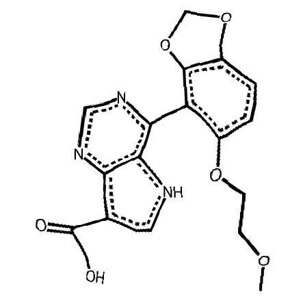 COCCOc1ccc2c(c1-c1ncnc3c(C(=O)O)c[nH]c13)OCO2